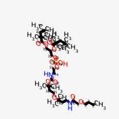 CCCCOCC(=O)NCCC(C)(C)OCCC(C)(C)OC(=O)NCCOP(=O)(O)OCC(COC(=O)C(C)(C)CC(C)(C)C)OC(=O)C(C)(C)CC(C)(C)C